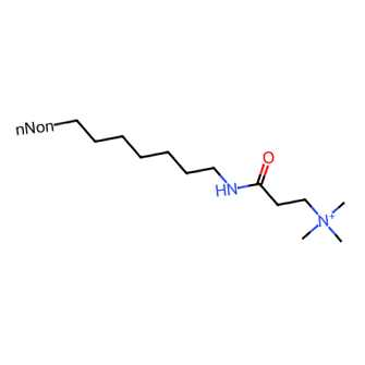 CCCCCCCCCCCCCCCCNC(=O)CC[N+](C)(C)C